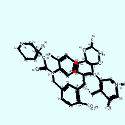 CC(C)Oc1cc([C@H](Cc2c(Cl)c[n+]([O-])cc2Cl)c2cc(CN(C(=O)O[C@H]3CN4CCC3CC4)c3ccccc3F)ccc2C(=O)O)ccc1OC(F)F